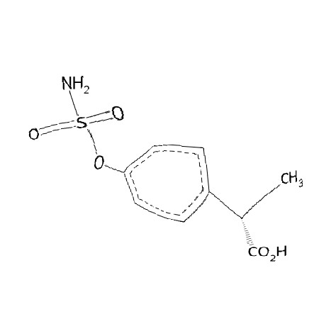 C[C@H](C(=O)O)c1ccc(OS(N)(=O)=O)cc1